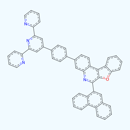 c1ccc(-c2cc(-c3ccc(-c4ccc5c(c4)nc(-c4cc6ccccc6c6ccccc46)c4oc6ccccc6c45)cc3)cc(-c3ccccn3)n2)nc1